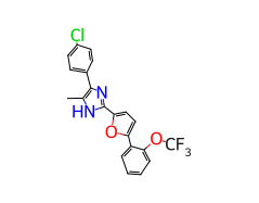 Cc1[nH]c(-c2ccc(-c3ccccc3OC(F)(F)F)o2)nc1-c1ccc(Cl)cc1